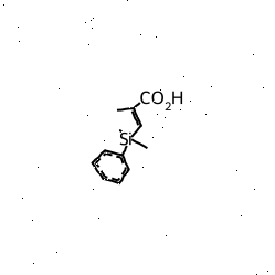 CC(=C[Si](C)(C)c1ccccc1)C(=O)O